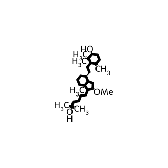 COC1CC2[C@H](CCC3C(C)CC[C@H](O)C3(C)C)CCC[C@]2(C)C1CCCCC(C)(C)O